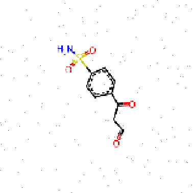 NS(=O)(=O)c1ccc(C(=O)CC=O)cc1